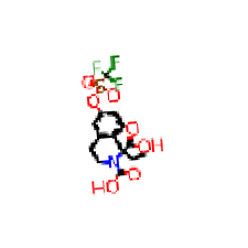 CCC1(C(=O)O)c2ccc(OS(=O)(=O)C(F)(F)F)cc2CCN1C(=O)O